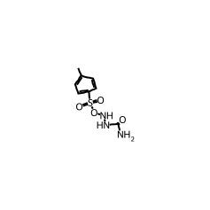 Cc1ccc(S(=O)(=O)ONNC(N)=O)cc1